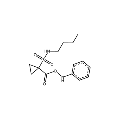 CCCCNS(=O)(=O)C1(C(=O)ONc2ccccc2)CC1